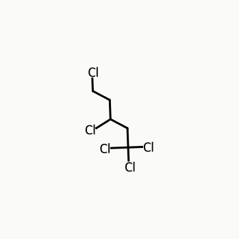 ClCCC(Cl)CC(Cl)(Cl)Cl